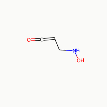 O=C=CCNO